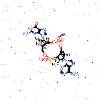 CCOP1(=O)OCC23C[C@@H]2[C@@H](n2cnc4c(N)ncnc42)[C@H](C)[C@@H]3OP(O)(=S)OC[C@H]2O[C@@H](n3cnc4c(=O)[nH]c(N)nc43)[C@H](O1)[C@@H]2OC